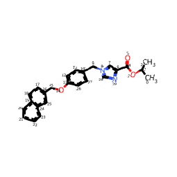 CC(C)OC(=O)c1cn(Cc2ccc(OCc3ccc4ccccc4c3)cc2)cn1